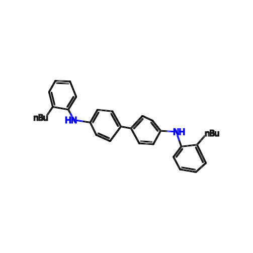 CCCCc1ccccc1Nc1ccc(-c2ccc(Nc3ccccc3CCCC)cc2)cc1